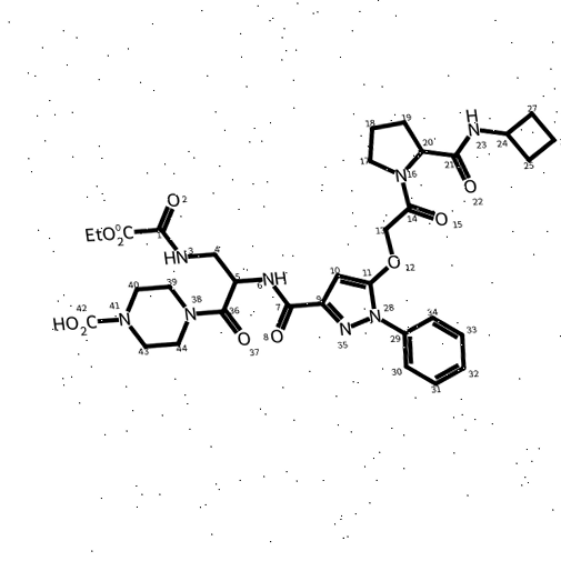 CCOC(=O)C(=O)NCC(NC(=O)c1cc(OCC(=O)N2CCCC2C(=O)NC2CCC2)n(-c2ccccc2)n1)C(=O)N1CCN(C(=O)O)CC1